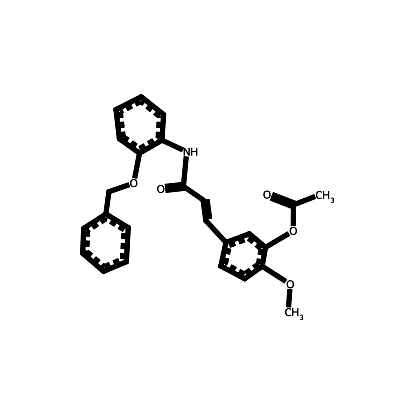 COc1ccc(C=CC(=O)Nc2ccccc2OCc2ccccc2)cc1OC(C)=O